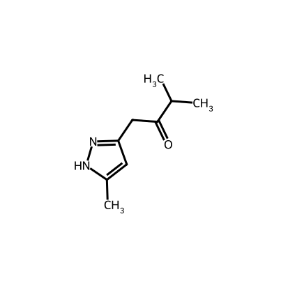 Cc1cc(CC(=O)C(C)C)n[nH]1